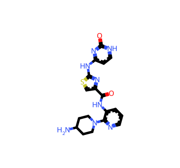 NC1CCN(c2ncccc2NC(=O)c2csc(Nc3cc[nH]c(=O)n3)n2)CC1